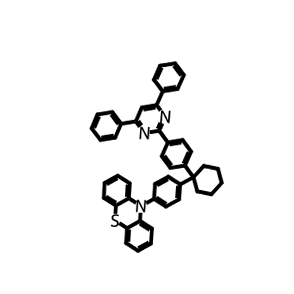 c1ccc(-c2cc(-c3ccccc3)nc(-c3ccc(C4(c5ccc(N6c7ccccc7Sc7ccccc76)cc5)CCCCC4)cc3)n2)cc1